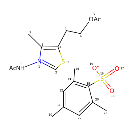 CC(=O)N[n+]1csc(CCOC(C)=O)c1C.Cc1cc(C)c(S(=O)(=O)[O-])c(C)c1